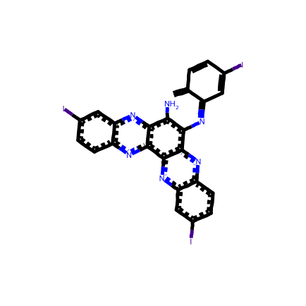 C=C1C=CC(I)=C/C1=N/c1c(N)c2nc3cc(I)ccc3nc2c2nc3cc(I)ccc3nc12